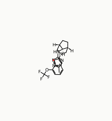 Cc1cc(N2C[C@H]3CC[C@@H](C2)[C@@H]3Nc2nc3c(OC(F)(F)F)cccn3n2)sn1